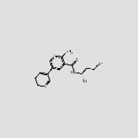 CC[C@@H](CCC(C)C)NC(=O)c1cc(C2=CCCN=C2)cnc1N